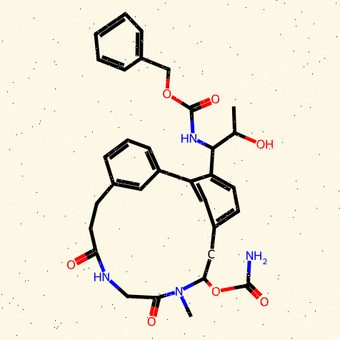 CC(O)C(NC(=O)OCc1ccccc1)c1ccc2cc1-c1cccc(c1)CCC(=O)NCC(=O)N(C)C(OC(N)=O)C2